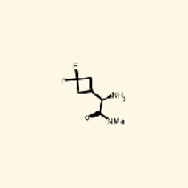 CNC(=O)[C@H](N)C1CC(F)(F)C1